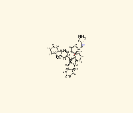 NC/C=C\c1ccc(-c2nc3c(nc2-n2c4ccccc4c4cc5ccccc5cc42)oc2ccccc23)cc1